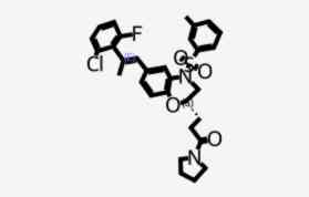 C/C(=C\c1ccc2c(c1)N(S(=O)(=O)c1cccc(C)c1)C[C@H](CCC(=O)N1CCCC1)O2)c1c(F)cccc1Cl